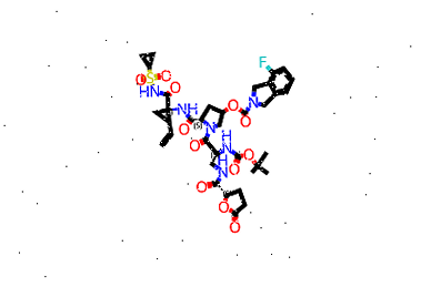 C=CC1C[C@]1(NC(=O)[C@@H]1CC(OC(=O)N2Cc3cccc(F)c3C2)CN1C(=O)[C@H](CNC(=O)[C@@H]1CCC(=O)O1)NC(=O)OC(C)(C)C)C(=O)NS(=O)(=O)C1CC1